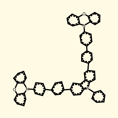 c1ccc(-n2c3ccc(-c4ccc(-c5ccc(N6c7ccccc7Oc7ccccc76)cc5)cc4)cc3c3cc(-c4ccc(-c5ccc(N6c7ccccc7Oc7ccccc76)cc5)cc4)ccc32)cc1